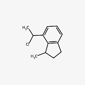 CC(Cl)c1cccc2c1C(C)CC2